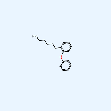 CCCCCCc1ccccc1Oc1[c]cccc1